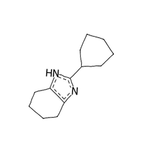 C1CCC(c2nc3c([nH]2)CCCC3)CC1